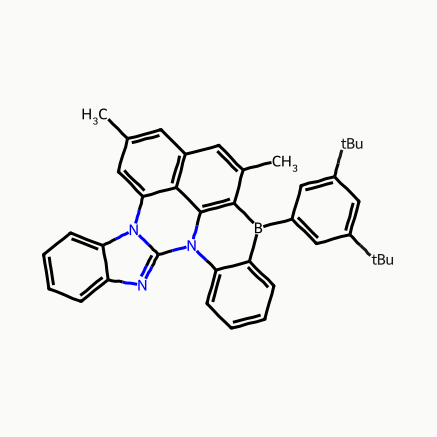 Cc1cc2cc(C)c3c4c2c(c1)n1c2ccccc2nc1n4-c1ccccc1B3c1cc(C(C)(C)C)cc(C(C)(C)C)c1